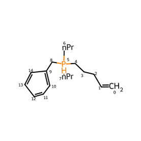 C=CCCC[PH](CCC)(CCC)Cc1ccccc1